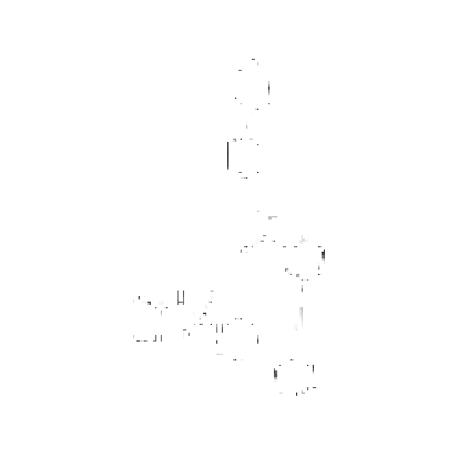 CC(C)[C@@H](NS(=O)(=O)N1CCN(c2ccccc2C#Cc2ccnc(C(=O)NCc3ccc(N4CCOCC4)cc3)c2)CC1)C(=O)O